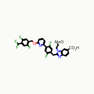 COCCn1c(Cc2cc(F)c(-c3cccc(OCc4cc(F)c(C(F)F)cc4F)n3)cc2F)nc2ccc(C(=O)O)cc21